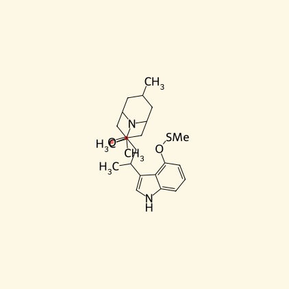 CSOc1cccc2[nH]cc(C(C)CC(=O)N3C4CC(C)CC3CC(C)(C)C4)c12